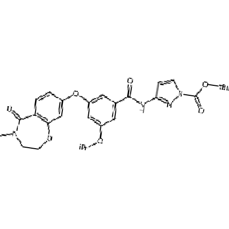 CC(C)Oc1cc(Oc2ccc3c(c2)OCCN(C)C3=O)cc(C(=O)Nc2ccn(C(=O)OC(C)(C)C)n2)c1